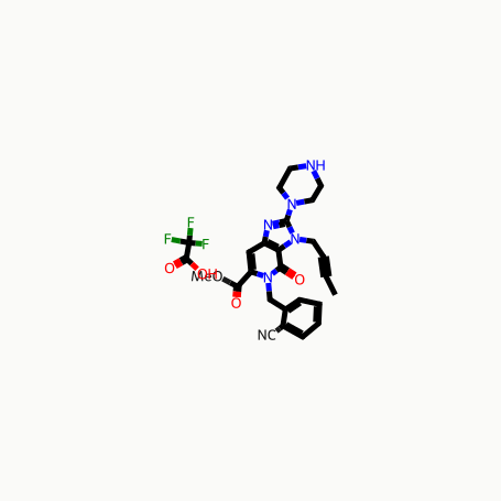 CC#CCn1c(N2CCNCC2)nc2cc(C(=O)OC)n(Cc3ccccc3C#N)c(=O)c21.O=C(O)C(F)(F)F